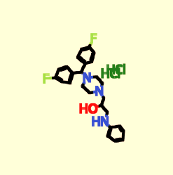 Cl.Cl.OC(CNc1ccccc1)CN1CCN(C(c2ccc(F)cc2)c2ccc(F)cc2)CC1